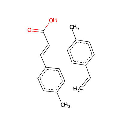 C=Cc1ccc(C)cc1.Cc1ccc(/C=C/C(=O)O)cc1